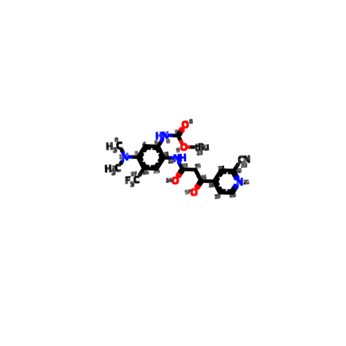 CN(C)c1cc(NC(=O)OC(C)(C)C)c(NC(=O)CC(=O)c2ccnc(C#N)c2)cc1C(F)(F)F